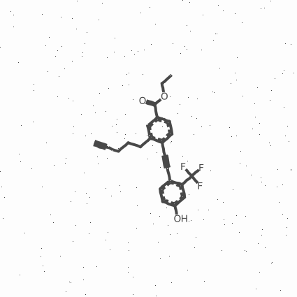 C#CCCCc1cc(C(=O)OCC)ccc1C#Cc1ccc(O)cc1C(F)(F)F